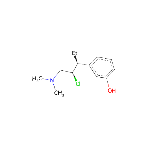 CC[C@@H](c1cccc(O)c1)[C@@H](Cl)CN(C)C